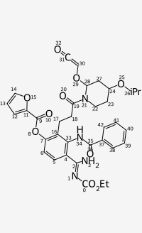 CCOC(=O)N=C(N)c1ccc(OC(=O)c2ccco2)c(CCC(=O)N2CCC(OC(C)C)CC2OC=C=O)c1NC(=O)c1ccccc1